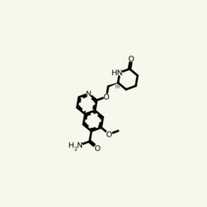 COc1cc2c(OC[C@@H]3CCCC(=O)N3)nccc2cc1C(N)=O